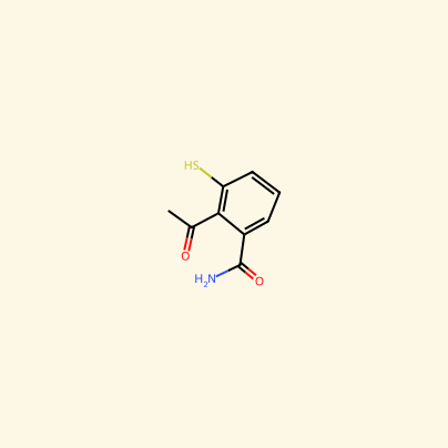 CC(=O)c1c(S)cccc1C(N)=O